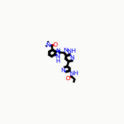 CCC(=O)Nc1cncc(-c2cnc3[nH]nc(-c4nc5c(C(=O)N(C)C)cccc5[nH]4)c3c2)c1